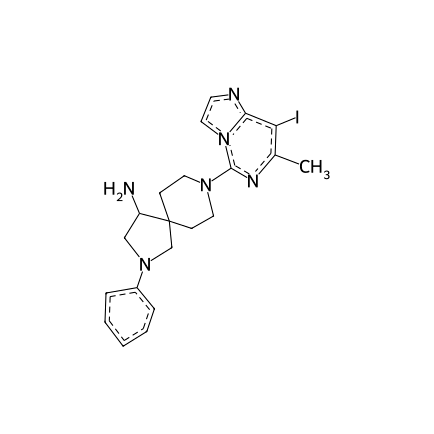 Cc1nc(N2CCC3(CC2)CN(c2ccccc2)CC3N)n2ccnc2c1I